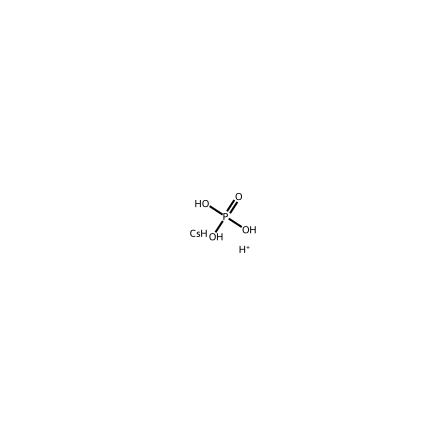 O=P(O)(O)O.[CsH].[H+]